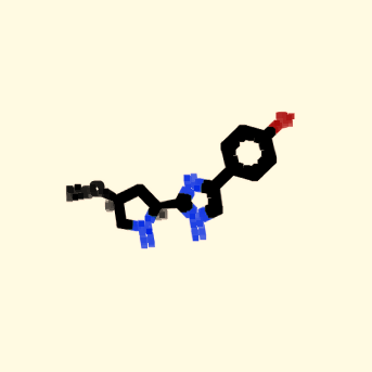 CO[C@@H]1CN[C@H](c2nc(-c3ccc(Br)cc3)c[nH]2)C1